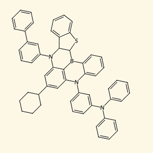 c1ccc(-c2cccc(N3c4cc(C5CCCCC5)cc5c4B(c4ccccc4N5c4cccc(N(c5ccccc5)c5ccccc5)c4)C4Sc5ccccc5C43)c2)cc1